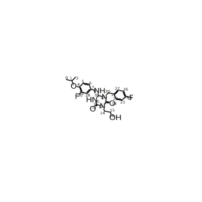 CC(C)Oc1ccc(NC2NC(=O)N(CCO)C(=O)N2Cc2ccc(F)cc2)cc1F